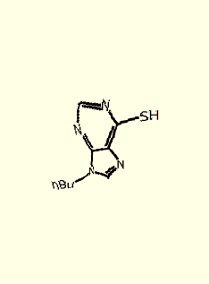 CCCCn1cnc2c(S)ncnc21